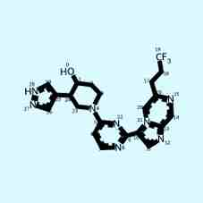 OC1CCN(c2ccnc(-c3cnc4cnc(CCC(F)(F)F)cn34)n2)CC1c1cn[nH]c1